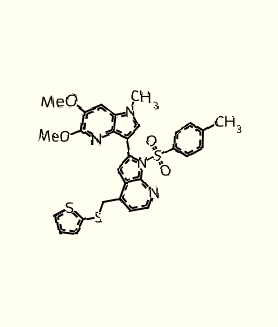 COc1cc2c(nc1OC)c(-c1cc3c(CSc4cccs4)ccnc3n1S(=O)(=O)c1ccc(C)cc1)cn2C